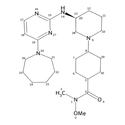 CON(C)C(=O)C1CCC(N2CCC[C@H](Nc3nccc(N4CCCCCC4)n3)C2)CC1